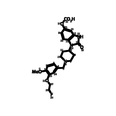 COc1ccc(CN2CCC(n3c(=O)[nH]c4cc(OC(=O)O)ccc43)CC2)cc1OCCF